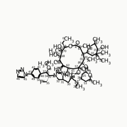 CC[C@H]1OC(=O)[C@H](C)[C@@H](C2C[C@@](C)(OC)[C@@H](O)[C@H](C)O2)[C@H](C)[C@@H](O[C@H]2C[C@@H](N(C)CCC3CN([C@H](CF)[C@H](OC)c4ccc(-n5ccnn5)cc4)N=N3)C[C@@H](C)O2)[C@](C)(OC)C[C@@H](C)C(=N)[C@H](C)[C@@H](O)[C@]1(C)O